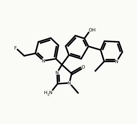 Cc1ncccc1-c1cc(C2(c3cccc(CF)n3)N=C(N)N(C)C2=O)ccc1O